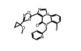 COC1(c2noc(-c3ncn4c3c(=O)n(Cc3ccccn3)c3c(F)cccc34)n2)CC1